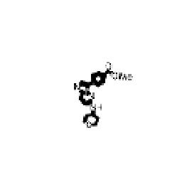 COC(=O)c1ccc(-c2cnc3ccc(NC4CCOCC4)nn23)cc1